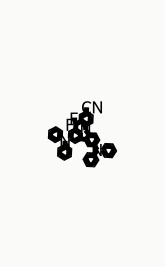 N#Cc1ccc2c(c1)C(F)(F)c1cc(N(c3ccccc3)c3ccccc3)cc3c4cc(N(c5ccccc5)c5ccccc5)ccc4n-2c13